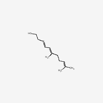 CC(C)=CCC/C(C)=C/C=N/CCO